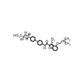 Cc1c(C(=O)Nc2ccc(-c3ccc(S(=O)(=O)N[C@H](C(=O)O)C(C)C)cc3)cc2)oc2cccc(OCCN(C)C)c12